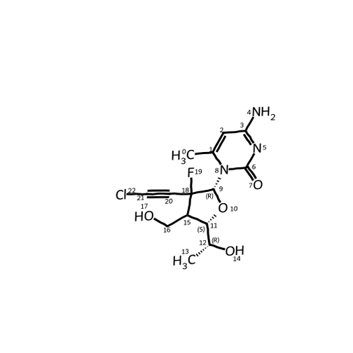 Cc1cc(N)nc(=O)n1[C@@H]1O[C@H]([C@@H](C)O)C(CO)C1(F)C#CCl